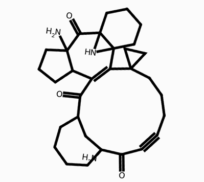 NC12CCCCC(C1)C(=O)C1=C(C3(CCCC#CC2=O)CC3)C23CCCCC2(N3)C(=O)C2(N)CCCC12